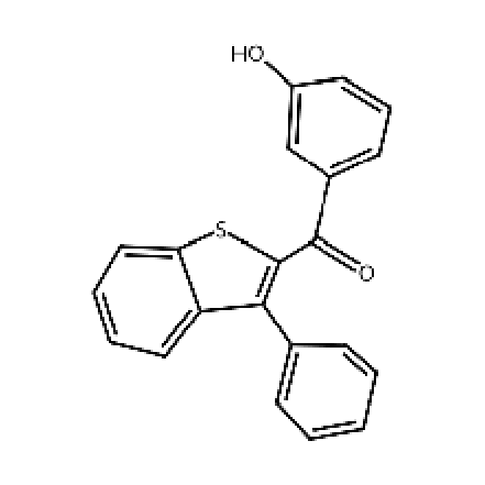 O=C(c1cccc(O)c1)c1sc2ccccc2c1-c1ccccc1